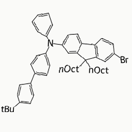 CCCCCCCCC1(CCCCCCCC)c2cc(Br)ccc2-c2ccc(N(c3ccccc3)c3ccc(-c4ccc(C(C)(C)C)cc4)cc3)cc21